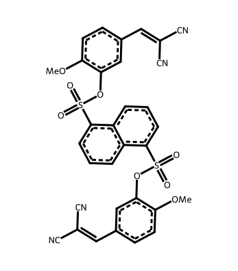 COc1ccc(C=C(C#N)C#N)cc1OS(=O)(=O)c1cccc2c(S(=O)(=O)Oc3cc(C=C(C#N)C#N)ccc3OC)cccc12